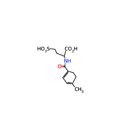 CC1=CC=C(C(=O)NC(CCS(=O)(=O)O)C(=O)O)CC1